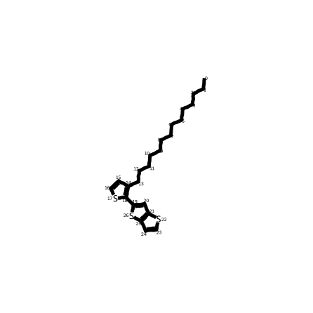 CCCCCCCCCCCCCCc1ccsc1-c1cc2sccc2s1